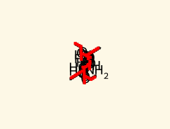 CCCCCC/C=C\CCCC(=O)O[C@H](CCCCCCC)CCOCC(COP(=O)(O)OCCNC(=O)C(CCCCN)C(=O)NCCOP(=O)(O)OCC(COCC[C@@H](CCCCCCC)OC(=O)CCC/C=C\CCCCCC)NC(=O)CCCCCCCCCCCCC)NC(=O)CCCCCCCCCCCCC